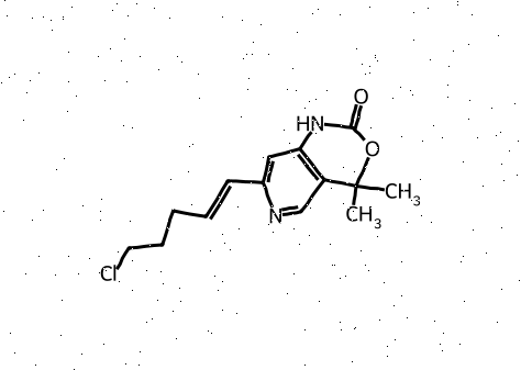 CC1(C)OC(=O)Nc2cc(/C=C/CCCCl)ncc21